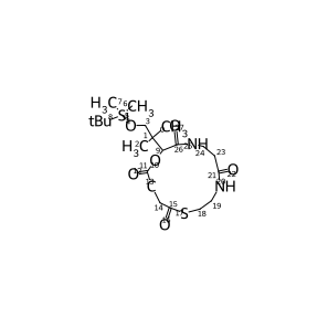 CC(C)(CO[Si](C)(C)C(C)(C)C)C1OC(=O)CCC(=O)SCCNC(=O)CCNC1=O